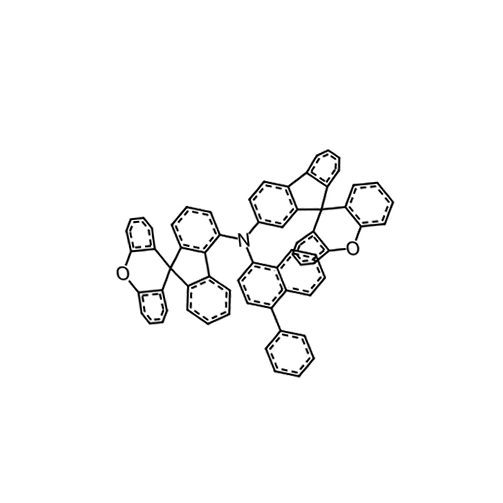 c1ccc(-c2ccc(N(c3ccc4c(c3)C3(c5ccccc5Oc5ccccc53)c3ccccc3-4)c3cccc4c3-c3ccccc3C43c4ccccc4Oc4ccccc43)c3ccccc23)cc1